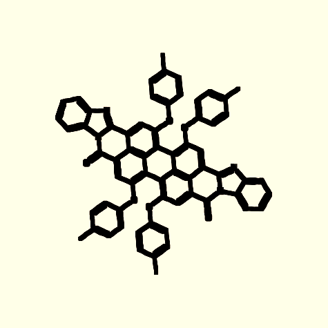 Cc1ccc(Oc2cc3c(=O)n4c5ccccc5nc4c4cc(Oc5ccc(C)cc5)c5c6c(Oc7ccc(C)cc7)cc7c8c(cc(Oc9ccc(C)cc9)c(c2c5c34)c68)c(=O)n2c3ccccc3nc72)cc1